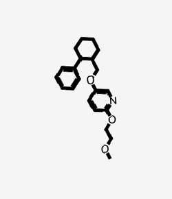 COCCOc1ccc(OCC2CCCCC2c2ccccc2)cn1